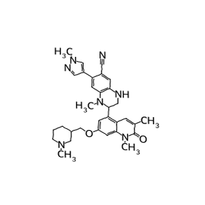 Cc1cc2c(C3CNc4cc(C#N)c(-c5cnn(C)c5)cc4N3C)cc(OCC3CCCN(C)C3)cc2n(C)c1=O